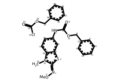 CON=c1sc2cc(NC(=O)OCc3ccccc3)ccc2n1C.O=C(Cl)OCc1ccccc1